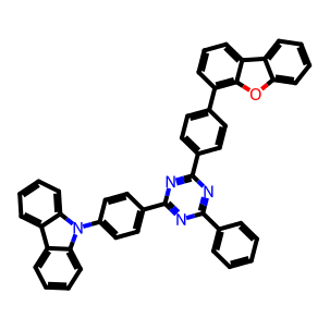 c1ccc(-c2nc(-c3ccc(-c4cccc5c4oc4ccccc45)cc3)nc(-c3ccc(-n4c5ccccc5c5ccccc54)cc3)n2)cc1